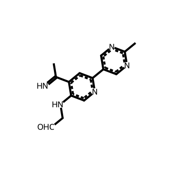 CC(=N)c1cc(-c2cnc(C)nc2)ncc1NCC=O